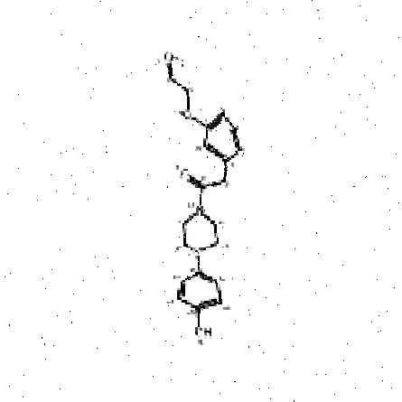 C=CCOc1cccc(CC(=O)N2CCN(c3ccc(O)cc3)CC2)c1